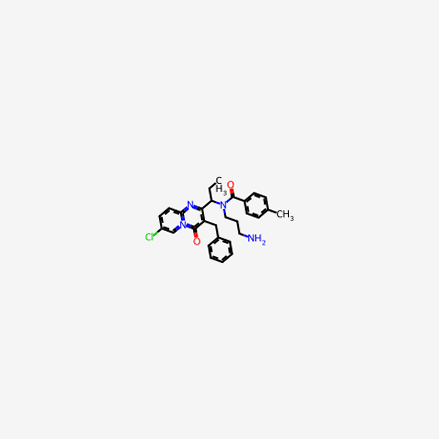 CCC(c1nc2ccc(Cl)cn2c(=O)c1Cc1ccccc1)N(CCCN)C(=O)c1ccc(C)cc1